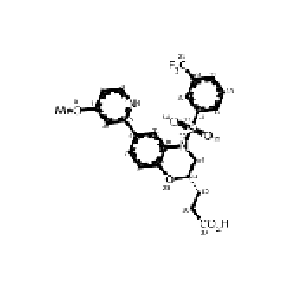 COc1ccnc(-c2ccc3c(c2)N(S(=O)(=O)c2cccc(C(F)(F)F)c2)C[C@H](CCC(=O)O)O3)c1